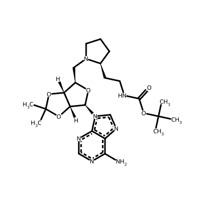 CC(C)(C)OC(=O)NCC[C@@H]1CCCN1C[C@H]1O[C@@H](n2cnc3c(N)ncnc32)[C@@H]2OC(C)(C)O[C@@H]21